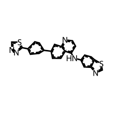 c1cc(Nc2ccc3scnc3c2)c2ccc(-c3ccc(-c4nncs4)cc3)cc2n1